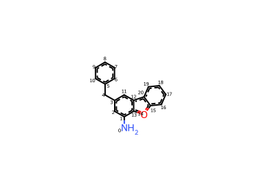 Nc1cc(Cc2ccccc2)cc2c1oc1ccccc12